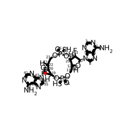 Nc1ncnc2c1ncn2[C@@H]1O[C@@H]2COP(=O)(S)O[C@@H]3[C@@H](F)[C@@H](COP(=O)(S)O[C@H]2[C@H]1F)O[C@H]3n1cnc2c(N)ncnc21